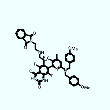 COc1ccc(CN(Cc2ccc(OC)cc2)c2cc(C)c(C(F)(F)F)c(-c3c(CCNCCN4C(=O)c5ccccc5C4=O)c(F)c4c(=O)[nH]c(=O)[nH]c4c3F)n2)cc1